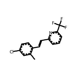 Cc1cc(Cl)ccc1/C=C/c1cccc(C(F)(F)F)n1